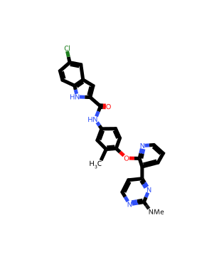 CNc1nccc(-c2cccnc2Oc2ccc(NC(=O)c3cc4cc(Cl)ccc4[nH]3)cc2C)n1